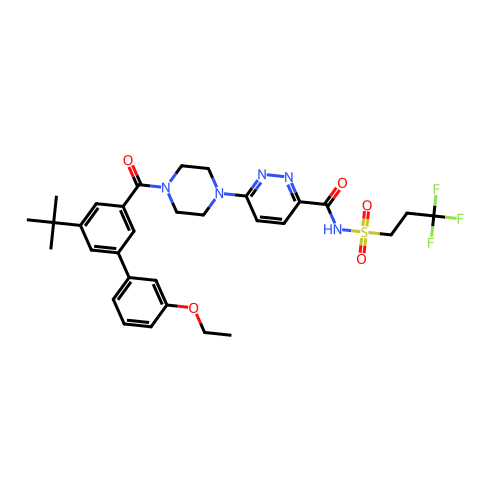 CCOc1cccc(-c2cc(C(=O)N3CCN(c4ccc(C(=O)NS(=O)(=O)CCC(F)(F)F)nn4)CC3)cc(C(C)(C)C)c2)c1